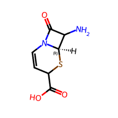 NC1C(=O)N2C=CC(C(=O)O)S[C@H]12